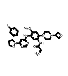 C=CC(=O)Nc1cc(Nc2cc(N3OCC[C@@H]3c3cccc(F)c3)ncn2)c(OC)cc1N1CCN(C2COC2)CC1